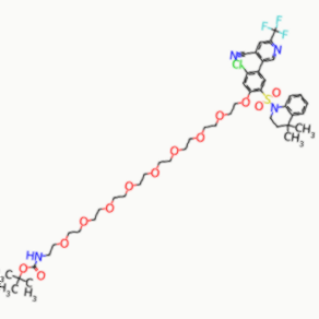 CC(C)(C)OC(=O)NCCOCCOCCOCCOCCOCCOCCOCCOCCOc1cc(Cl)c(-c2cnc(C(F)(F)F)cc2C#N)cc1S(=O)(=O)N1CCC(C)(C)c2ccccc21